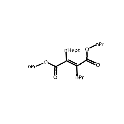 CCCCCCCC(C(=O)OCCC)=C(CCC)C(=O)OCCC